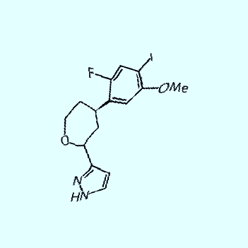 COc1cc([C@@H]2CCOC(c3cc[nH]n3)C2)c(F)cc1I